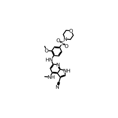 CNc1cc(Nc2ccc(S(=O)(=O)N3CCOCC3)cc2OC)nc2[nH]cc(C#N)c12